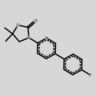 CC1(C)CN(c2ccc(-c3ccc(F)cc3)cn2)C(=O)O1